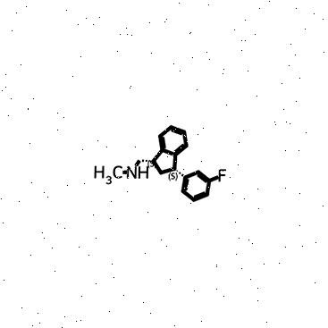 CNC[C@H]1C[C@@H](c2cccc(F)c2)c2ccccc21